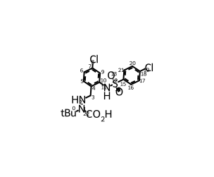 CC(C)(C)N(NCc1ccc(Cl)cc1NS(=O)(=O)c1ccc(Cl)cc1)C(=O)O